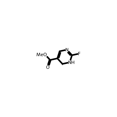 COC(=O)C1=CN=C(F)N[CH]1